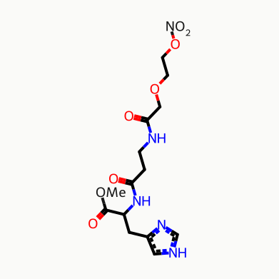 COC(=O)C(Cc1c[nH]cn1)NC(=O)CCNC(=O)COCCO[N+](=O)[O-]